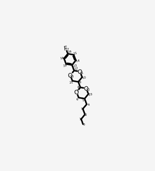 CCCCCC1COC(C2COC(c3ccc(F)cc3)OC2)OC1